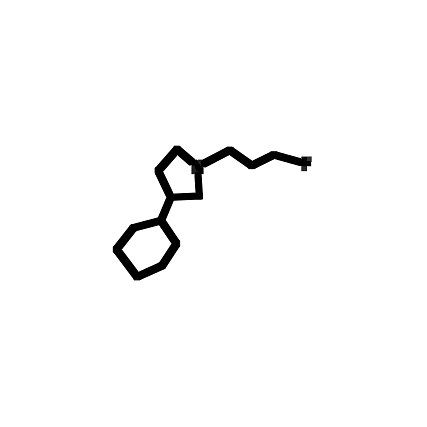 FCCCN1CCC(C2CCCCC2)C1